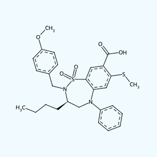 CCCC[C@@H]1CN(c2ccccc2)c2cc(SC)c(C(=O)O)cc2S(=O)(=O)N1Cc1ccc(OC)cc1